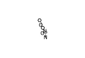 N#C[C@@H]1CCN(c2ccc(OCc3ccccc3)cc2)C1=O